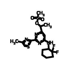 Cc1csc(-c2nc(NC3CCCCC3(F)F)cc(C(C)OS(C)(=O)=O)n2)n1